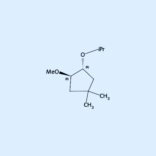 CO[C@@H]1CC(C)(C)C[C@H]1OC(C)C